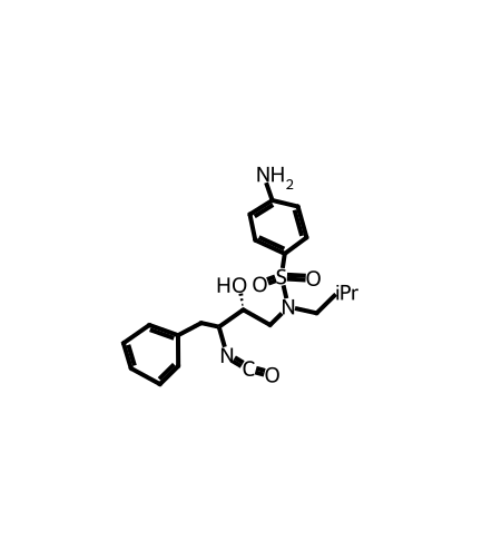 CC(C)CN(C[C@@H](O)C(Cc1ccccc1)N=C=O)S(=O)(=O)c1ccc(N)cc1